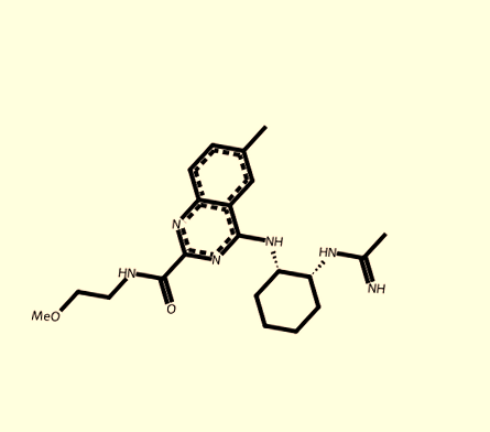 COCCNC(=O)c1nc(N[C@H]2CCCC[C@H]2NC(C)=N)c2cc(C)ccc2n1